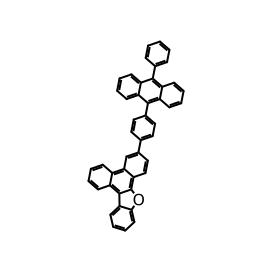 c1ccc(-c2c3ccccc3c(-c3ccc(-c4ccc5c(c4)c4ccccc4c4c6ccccc6oc54)cc3)c3ccccc23)cc1